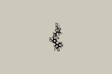 COc1cc(-c2cn(C)c(=O)c3cnccc23)cc(OC)c1CN1CC(C(OC(N)=O)C(C)(C)C)C1